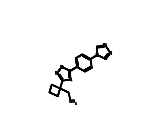 NCC1(c2noc(-c3ccc(-n4cnnc4)cc3)n2)CCC1